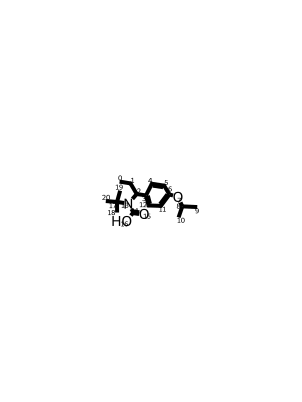 CCC(c1ccc(OC(C)C)cc1)N(C(=O)O)C(C)(C)C